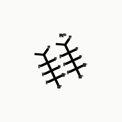 CC(F)C(F)(F)C(F)(F)C([O-])([O-])F.CC(F)C(F)(F)C(F)(F)C([O-])([O-])F.[Pt+4]